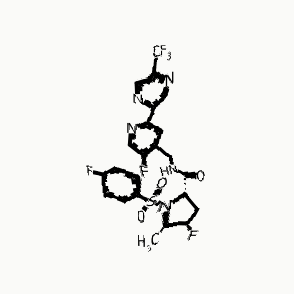 C[C@H]1[C@H](F)C[C@@H](C(=O)NCc2cc(-c3cnc(C(F)(F)F)cn3)ncc2F)N1S(=O)(=O)c1ccc(F)cc1